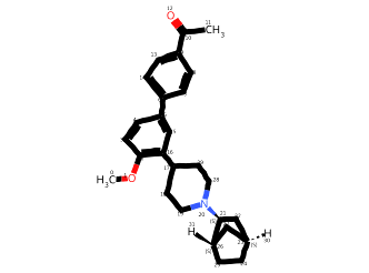 COc1ccc(-c2ccc(C(C)=O)cc2)cc1C1CCN([C@H]2C[C@H]3CC[C@H]2C3)CC1